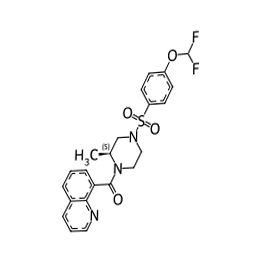 C[C@H]1CN(S(=O)(=O)c2ccc(OC(F)F)cc2)CCN1C(=O)c1cccc2cccnc12